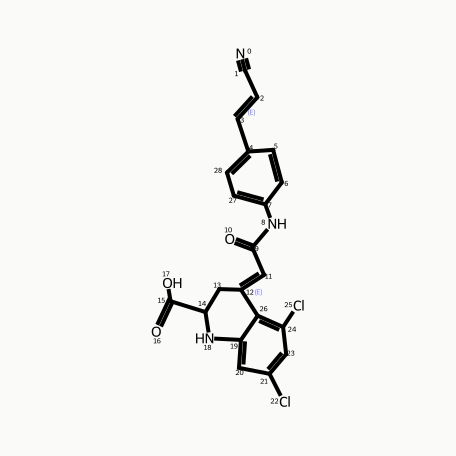 N#C/C=C/c1ccc(NC(=O)/C=C2\CC(C(=O)O)Nc3cc(Cl)cc(Cl)c32)cc1